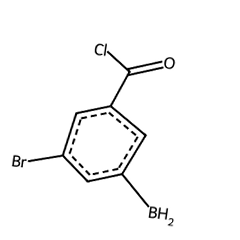 Bc1cc(Br)cc(C(=O)Cl)c1